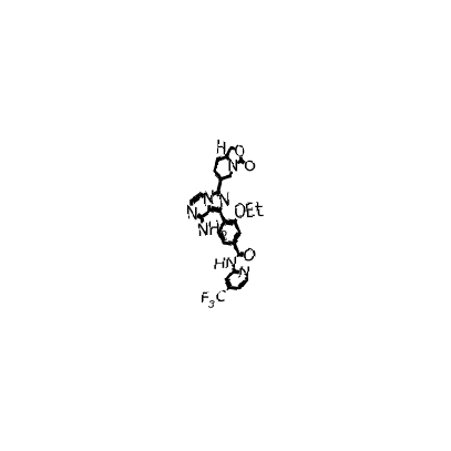 CCOc1cc(C(=O)Nc2cc(C(F)(F)F)ccn2)ccc1-c1nc(C2CC[C@H]3COC(=O)N3C2)n2ccnc(N)c12